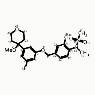 COC1(c2cc(F)cc(OCc3ccc(N(C)S(C)(=O)=O)c(Cl)c3)c2)CCOCC1